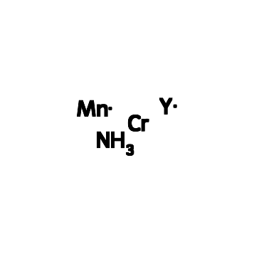 N.[Cr].[Mn].[Y]